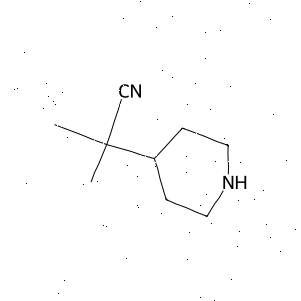 CC(C)(C#N)C1CCNCC1